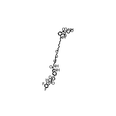 O=C1CCC(N2C(=O)c3cccc(NCCCCCCCCOCCOCCOCCNC(=O)c4cc5cc(N6CCC(O)(C(=O)NCc7cc(F)cc(F)c7)C6=O)ccc5[nH]4)c3C2=O)C(=O)N1